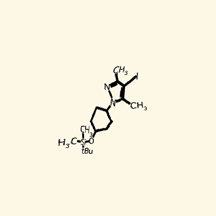 Cc1nn(C2CCC(O[Si](C)(C)C(C)(C)C)CC2)c(C)c1I